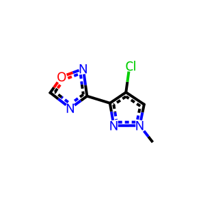 Cn1cc(Cl)c(-c2ncon2)n1